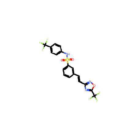 O=S(=O)(Nc1ccc(C(F)(F)F)cc1)c1cccc(C=Cc2noc(C(F)(F)F)n2)c1